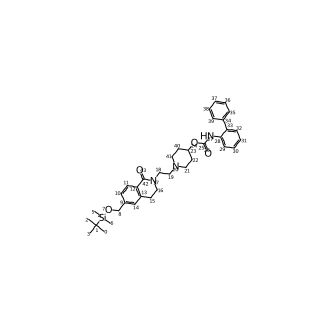 CC(C)(C)[Si](C)(C)OCc1ccc2c(c1)CCN(CCN1CCC(OC(=O)Nc3ccccc3-c3ccccc3)CC1)C2=O